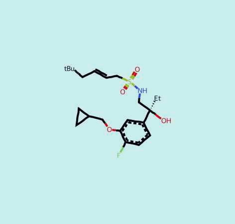 CC[C@@](O)(CNS(=O)(=O)C/C=C/CC(C)(C)C)c1ccc(F)c(OCC2CC2)c1